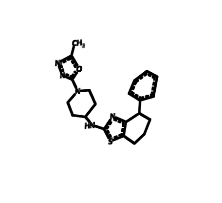 Cc1nnc(N2CCC(Nc3nc4c(s3)CCCC4c3ccccc3)CC2)o1